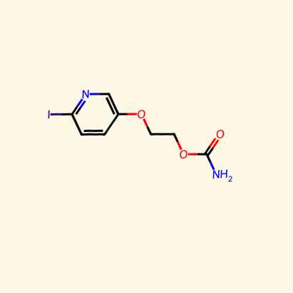 NC(=O)OCCOc1ccc(I)nc1